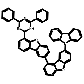 c1ccc(C2=NC(c3ccccc3)NC(c3cccc4c3oc3ccc(-c5cccc6oc7ccc(-n8c9ccccc9c9ccccc98)cc7c56)cc34)N2)cc1